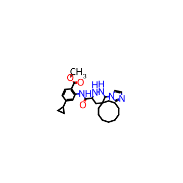 COC(=O)c1ccc(C2CC2)cc1NC(=O)C1CC2(CCCCCCCCC2)C(n2ccnc2)NN1